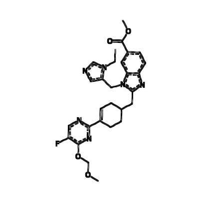 CCn1cncc1Cn1c(CC2CC=C(c3ncc(F)c(OCOC)n3)CC2)nc2ccc(C(=O)OC)cc21